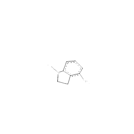 CC(=O)N1CCc2c(N)cccc21